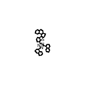 c1ccc2c(-c3nc(-c4cccc5ccccc45)nc(-c4cccc5c4sc4ccc6ccc7ccccc7c6c45)n3)cccc2c1